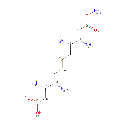 NOS(=O)C[C@H](N)[C@@H](N)CSSC[C@H](N)[C@@H](N)CS(=O)O